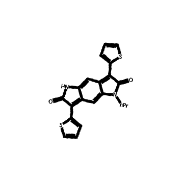 CCCN1C(=O)C(c2cccs2)=c2cc3c(cc21)=C(c1cccs1)C(=O)N3